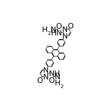 NC(=O)Nc1nc(=O)ccn1-c1ccc(-c2c3ccccc3c(-c3ccc(-n4ccc(=O)nc4NC(N)=O)cc3)c3ccccc23)cc1